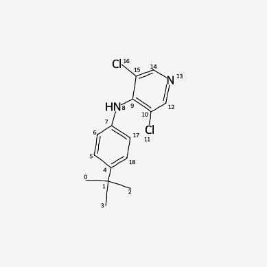 CC(C)(C)c1ccc(Nc2c(Cl)cncc2Cl)cc1